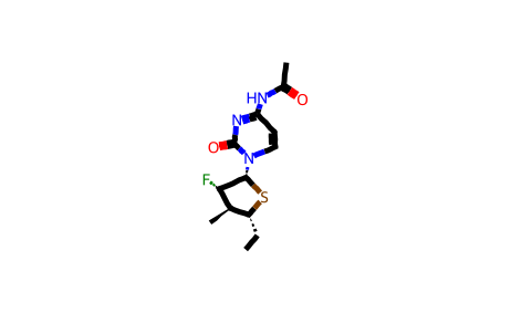 CC[C@H]1S[C@@H](n2ccc(NC(C)=O)nc2=O)[C@@H](F)[C@@H]1C